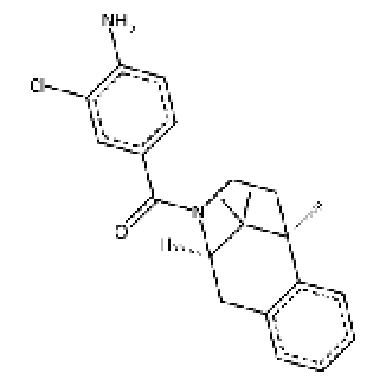 CC1(C)[C@H]2Cc3ccccc3[C@]1(C)CCN2C(=O)c1ccc(N)c(Cl)c1